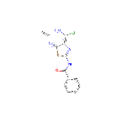 C=C/N=C1/SC(NC(=O)c2ccccc2)=N/C1=C(/N)Cl